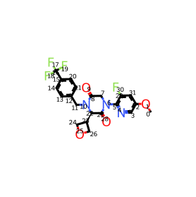 COc1cnc(N2CC(=O)N(Cc3ccc(C(F)(F)F)cc3)[C@H](C3COC3)C2=O)c(F)c1